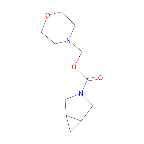 O=C(OCN1CCOCC1)N1CC2CC2C1